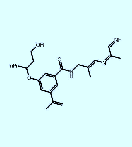 C=C(C)c1cc(OC(CCC)CCO)cc(C(=O)NC/C(C)=C/N=C(/C)C=N)c1